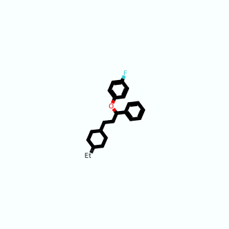 CCC1CCC(CCC(Oc2ccc(F)cc2)c2ccccc2)CC1